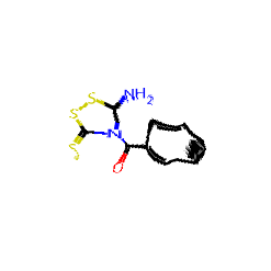 NC1SSC(=S)N1C(=O)c1ccccc1